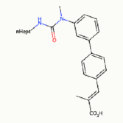 CCCCCCCNC(=O)N(C)c1cccc(-c2ccc(C=C(C)C(=O)O)cc2)c1